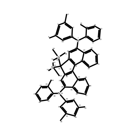 Cc1cc(C)cc(N(c2ccccc2C)c2cc3c(c4ccccc24)-c2c(cc(N(c4cc(C)cc(C)c4)c4ccccc4C)c4ccccc24)C3([Si](C)(C)C)[Si](C)(C)C)c1